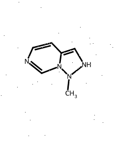 CN1NC=C2C=CN=CN21